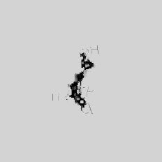 Cc1nn(C(C)c2ccc(Cl)cc2Cl)c2nc(N3CC([C@@H]4CCCN(CCCO)C4)C3)cnc12